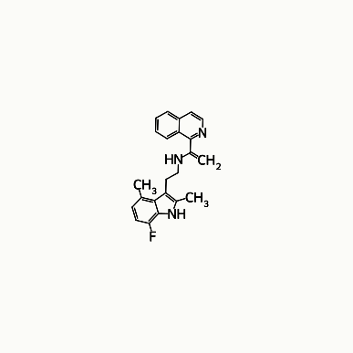 C=C(NCCc1c(C)[nH]c2c(F)ccc(C)c12)c1nccc2ccccc12